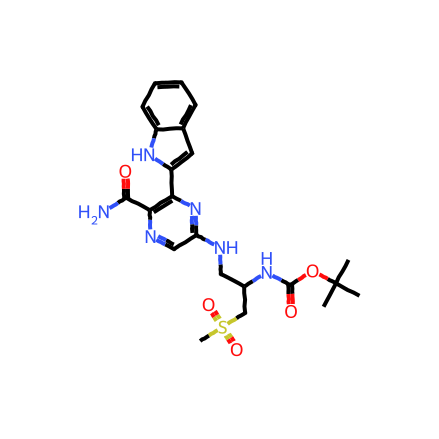 CC(C)(C)OC(=O)NC(CNc1cnc(C(N)=O)c(-c2cc3ccccc3[nH]2)n1)CS(C)(=O)=O